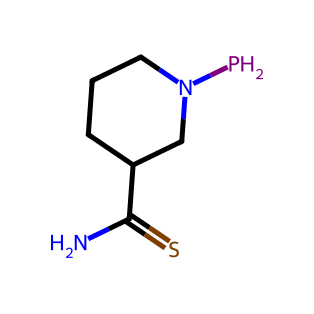 NC(=S)C1CCCN(P)C1